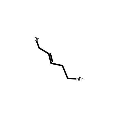 CCCCC/C=C/CBr